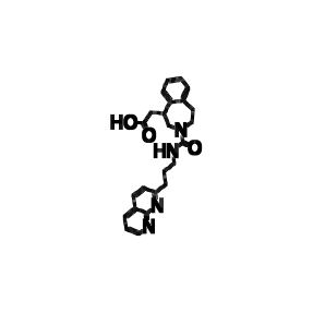 O=C(O)CC1CN(C(=O)NCCCc2ccc3cccnc3n2)CCc2ccccc21